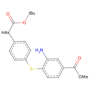 COC(=O)c1ccc(Sc2ccc([AsH]C(=O)OC(C)(C)C)cc2)c(N)c1